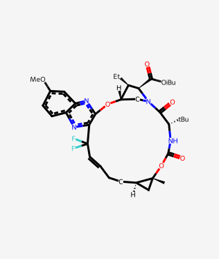 CC[C@@H]1[C@@H]2CN(C(=O)[C@H](C(C)(C)C)NC(=O)O[C@]3(C)C[C@H]3CC/C=C/C(F)(F)c3nc4ccc(OC)cc4nc3O2)[C@@H]1C(=O)OCC(C)C